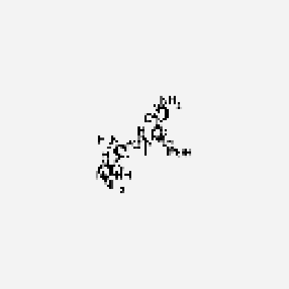 NC1=NCNC2=C1NCN2[C@H]1CC(N)[C@@H](COPNC2C[C@H](n3ccc(N)nc3=O)O[C@@H]2COPO)O1